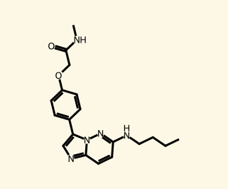 CCCCNc1ccc2ncc(-c3ccc(OCC(=O)NC)cc3)n2n1